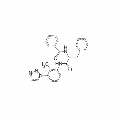 Cc1c(NC(=O)C(Cc2ccccc2)NC(=O)c2ccccc2)cccc1-n1ccnn1